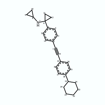 C(#Cc1ccc(C2(NC3CC3)CC2)cc1)c1ccc(C2CCCCC2)cc1